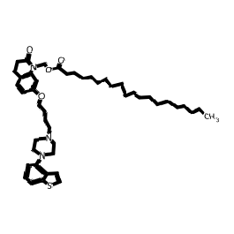 CCCCCCCCCCCCCCCCCCCC(=O)OCN1C(=O)CCc2ccc(OCCCCN3CCN(c4cccc5sccc45)CC3)cc21